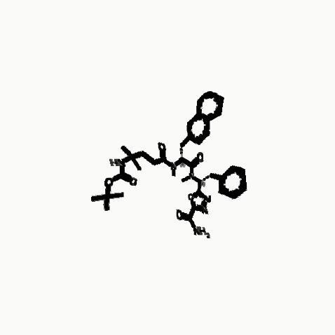 CN(C(=O)C=CC(C)(C)NC(=O)OC(C)(C)C)[C@H](Cc1ccc2ccccc2c1)C(=O)N(C)[C@H](Cc1ccccc1)c1nnc(C(N)=O)o1